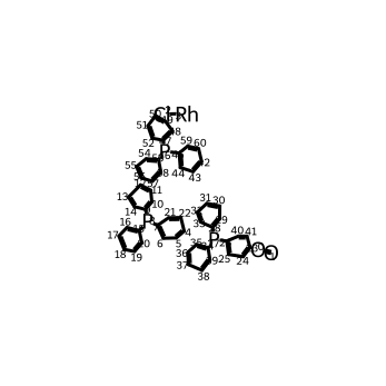 O=O.[Cl][Rh].c1ccc(P(c2ccccc2)c2ccccc2)cc1.c1ccc(P(c2ccccc2)c2ccccc2)cc1.c1ccc(P(c2ccccc2)c2ccccc2)cc1